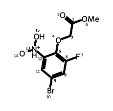 COC(=O)COc1c(F)cc(Br)cc1[NH+]([O-])O